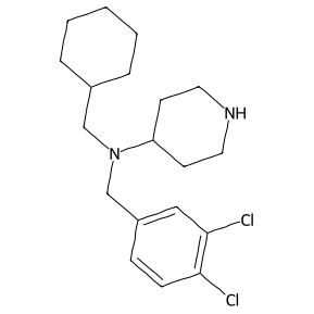 Clc1ccc(CN(CC2CCCCC2)C2CCNCC2)cc1Cl